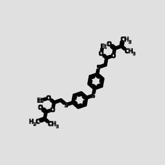 C=C(C)C(=O)OC(CSc1ccc(Sc2ccc(SCC(OCC)OC(=O)C(=C)C)cc2)cc1)OCC